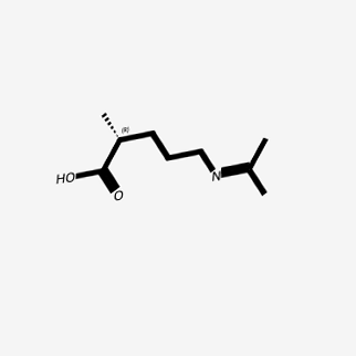 CC(C)=NCCC[C@@H](C)C(=O)O